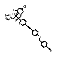 N#Cc1ccc(COc2ccc(C#Cc3ccc(C(F)(F)C(O)(Cn4cnnn4)C4=C(F)C=C(Cl)CC4)nc3)cc2)cc1